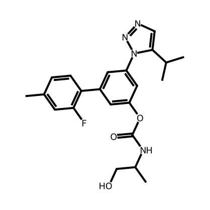 Cc1ccc(-c2cc(OC(=O)NC(C)CO)cc(-n3nncc3C(C)C)c2)c(F)c1